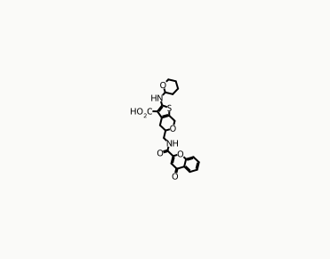 O=C(NCC1Cc2c(sc(NC3CCCCO3)c2C(=O)O)CO1)c1cc(=O)c2ccccc2o1